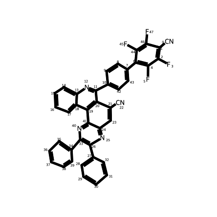 N#Cc1c(F)c(F)c(-c2ccc(-c3nc4ccccc4c4c3c(C#N)cc3nc(-c5ccccc5)c(-c5ccccc5)nc34)cc2)c(F)c1F